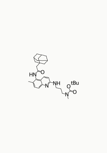 Cc1ccc2nc(NCCCN(C)C(=O)OC(C)(C)C)ccc2c1NC(=O)CC12CC3CC(CC(C3)C1)C2